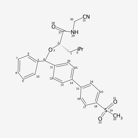 CC(C)C[C@H](OC(c1ccccc1)c1ccc(-c2ccc(S(C)(=O)=O)cc2)cc1)C(=O)NCC#N